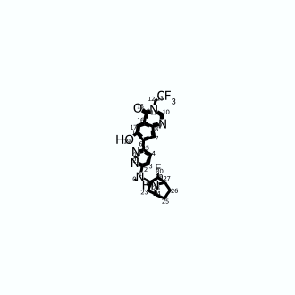 CN(c1ccc(-c2cc3ncn(CC(F)(F)F)c(=O)c3cc2O)nn1)[C@@H]1CC2CCC(N2)[C@@H]1F